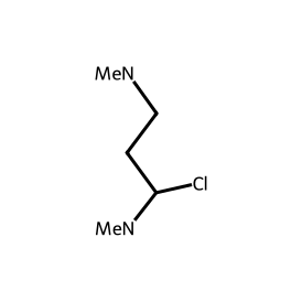 CNCCC(Cl)NC